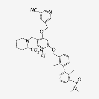 Cc1c(COc2cc(OCc3cncc(C#N)c3)c(CN3CCCCC3C(=O)O)cc2Cl)cccc1-c1cccc(C(=O)N(C)C)c1C